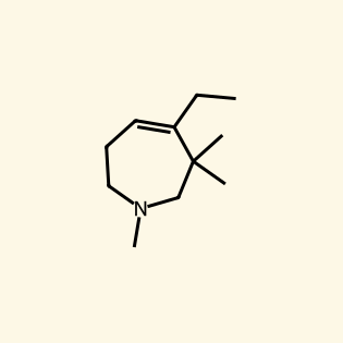 CCC1=CCCN(C)CC1(C)C